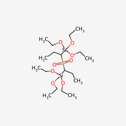 CCO[Si](OCC)(OCC)C(CC)S(=O)(=O)C(CC)[Si](OCC)(OCC)OCC